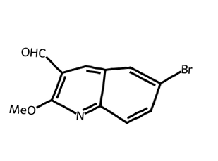 COc1nc2ccc(Br)cc2cc1C=O